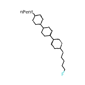 CCCCCC1CCC(C2CCC(C3CCC(CCCCCF)CC3)CC2)CC1